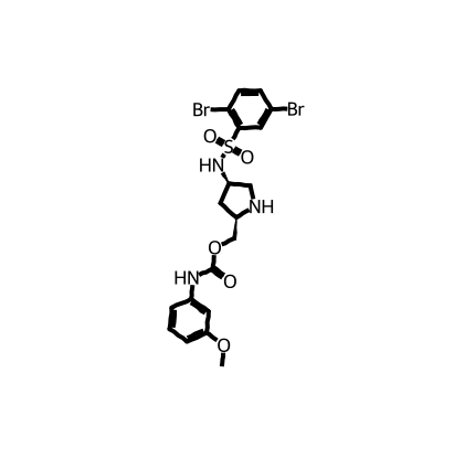 COc1cccc(NC(=O)OC[C@H]2C[C@@H](NS(=O)(=O)c3cc(Br)ccc3Br)CN2)c1